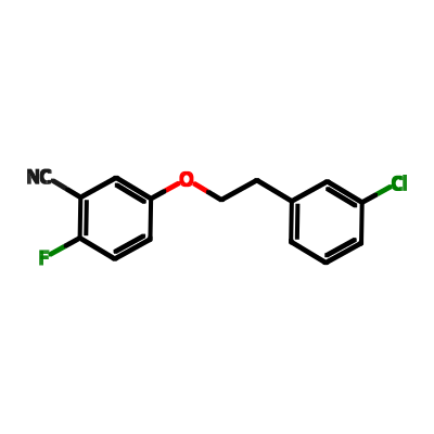 N#Cc1cc(OCCc2cccc(Cl)c2)ccc1F